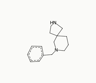 c1ccc(CN2CCCC3(CCNC3)C2)cc1